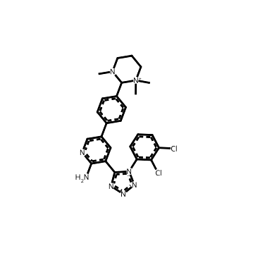 CN1CCC[N+](C)(C)C1c1ccc(-c2cnc(N)c(-c3nnnn3-c3cccc(Cl)c3Cl)c2)cc1